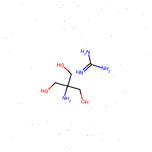 N=C(N)N.NC(CO)(CO)CO